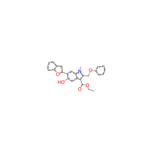 CCOC(=O)c1c(COc2ccccc2)n(C)c2cc(-c3cc4ccccc4o3)c(O)cc12